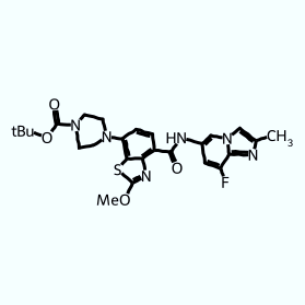 COc1nc2c(C(=O)Nc3cc(F)c4nc(C)cn4c3)ccc(N3CCN(C(=O)OC(C)(C)C)CC3)c2s1